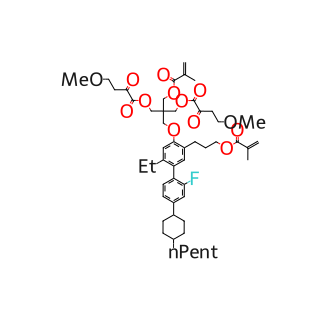 C=C(C)C(=O)OCCCc1cc(-c2ccc(C3CCC(CCCCC)CC3)cc2F)c(CC)cc1OCC(COC(=O)C(=C)C)(COC(=O)C(=O)CCOC)COC(=O)C(=O)CCOC